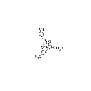 N#Cc1ccc(CCN2CC(=O)N(Cc3ccc(C(F)(F)F)cc3)C3(CN(C(=O)O)C3)C2=O)cc1